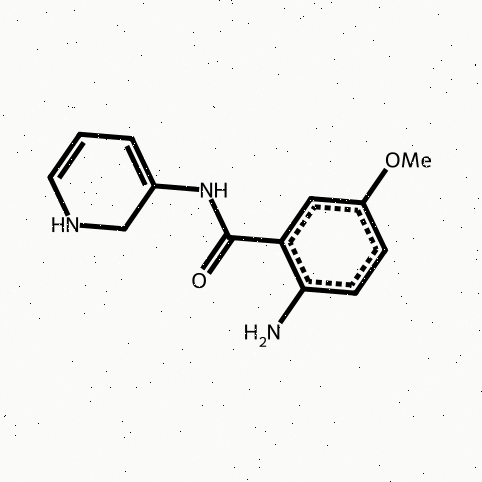 COc1ccc(N)c(C(=O)NC2=CC=CNC2)c1